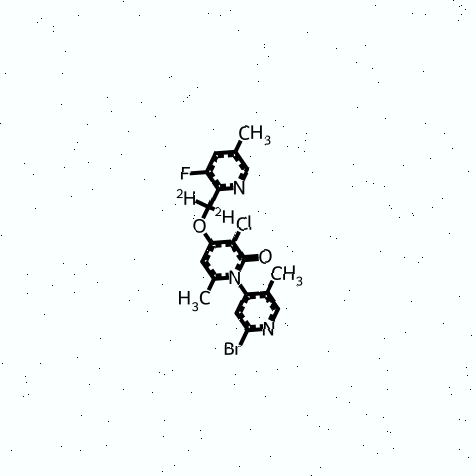 [2H]C([2H])(Oc1cc(C)n(-c2cc(Br)ncc2C)c(=O)c1Cl)c1ncc(C)cc1F